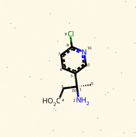 C[C@](N)(CC(=O)O)c1ccc(Cl)nc1